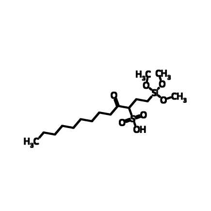 CCCCCCCCCC(=O)C(CC[Si](OC)(OC)OC)S(=O)(=O)O